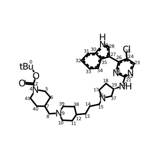 CC(C)(C)OC(=O)N1CCC(CN2CCC(CCCN3CC[C@@H](Nc4ncc(Cl)c(-c5c[nH]c6ccccc56)n4)C3)CC2)CC1